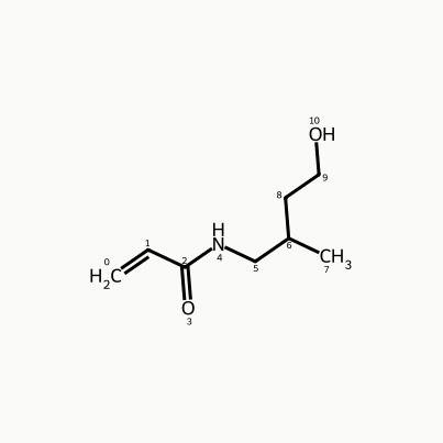 C=CC(=O)NCC(C)CCO